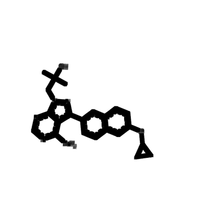 CC(C)(O)Cn1nc(-c2ccc3cc(OC4CC4)ccc3c2)c2c([AsH2])ncnc21